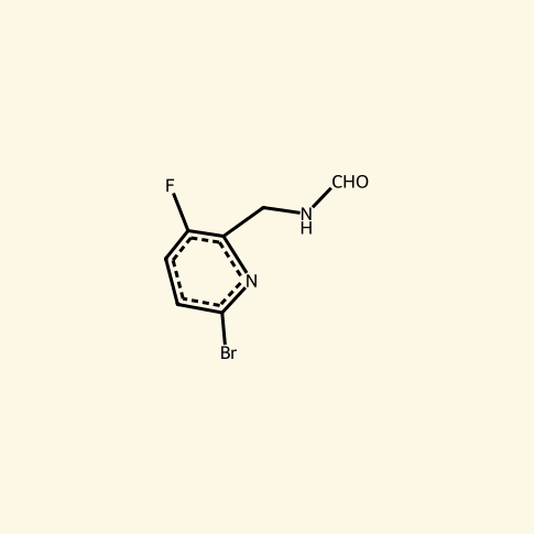 O=CNCc1nc(Br)ccc1F